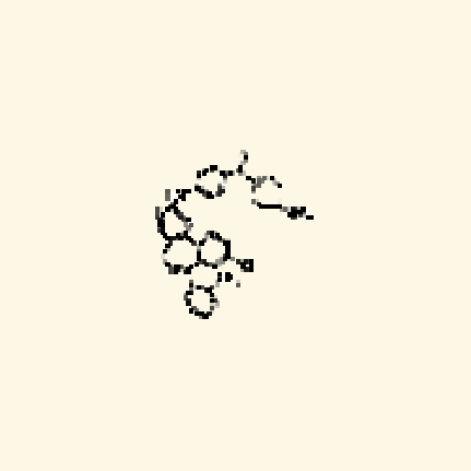 CNC1CCN(C(=O)c2ccc(Nc3ncc4c(n3)C3C=CC(Cl)=CC3C(c3ccccc3C(F)(F)F)=NC4)cc2)CC1